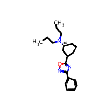 CCCN(CCC)[C@@H]1CCCC(c2nc(-c3ccccc3)no2)C1